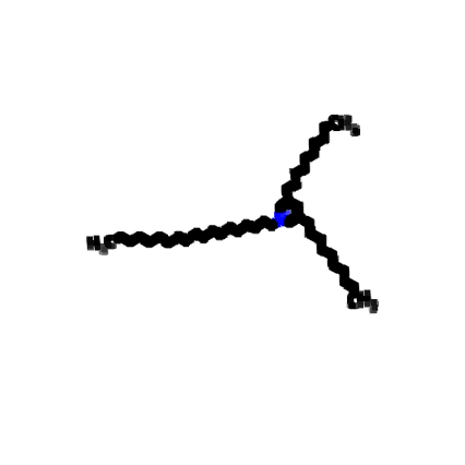 CCCCCCCCCCCCCCCCCCC[n+]1cc(CCCCCCCCCC)cc(CCCCCCCCCC)c1